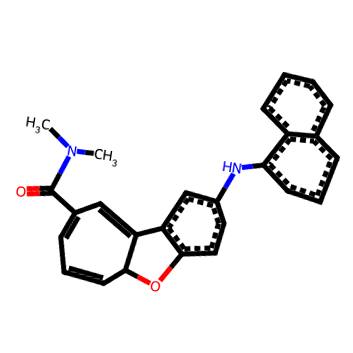 CN(C)C(=O)C1=CC=CC2Oc3ccc(Nc4cccc5ccccc45)cc3C2=C1